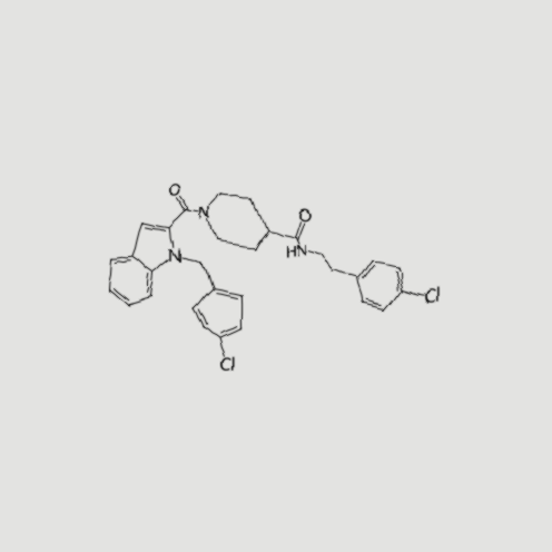 O=C(NCCc1ccc(Cl)cc1)C1CCN(C(=O)c2cc3ccccc3n2Cc2ccc(Cl)cc2)CC1